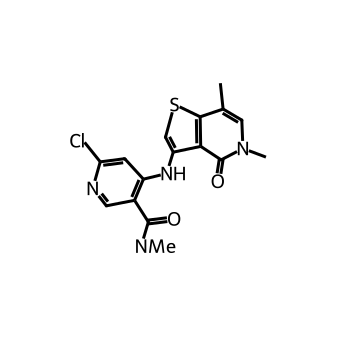 CNC(=O)c1cnc(Cl)cc1Nc1csc2c(C)cn(C)c(=O)c12